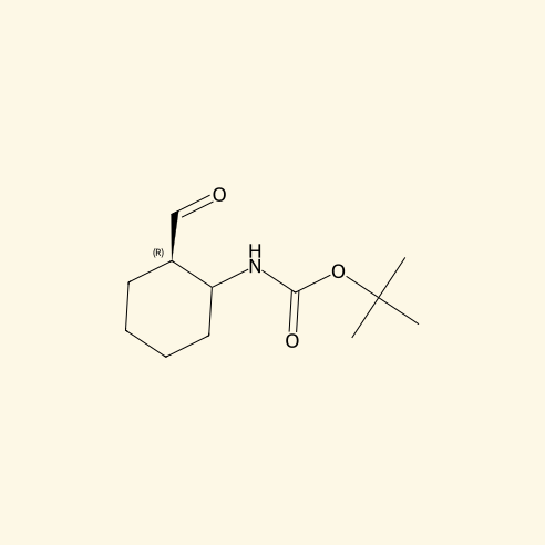 CC(C)(C)OC(=O)NC1CCCC[C@H]1C=O